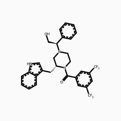 O=C(c1cc(C(F)(F)F)cc(C(F)(F)F)c1)N1CCN([C@@H](CO)c2ccccc2)C[C@H]1Cc1c[nH]c2ccccc12